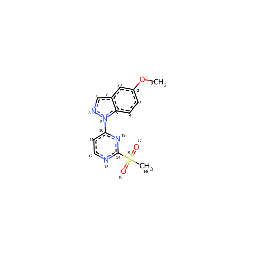 COc1ccc2c(cnn2-c2ccnc(S(C)(=O)=O)n2)c1